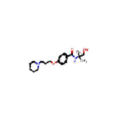 CC(C)(CO)NC(=O)c1ccc(OCCCN2CCCCC2)cc1